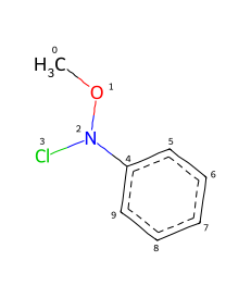 CON(Cl)c1ccccc1